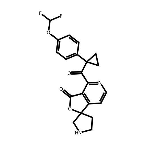 O=C1OC2(CCNC2)c2ccnc(C(=O)C3(c4ccc(OC(F)F)cc4)CC3)c21